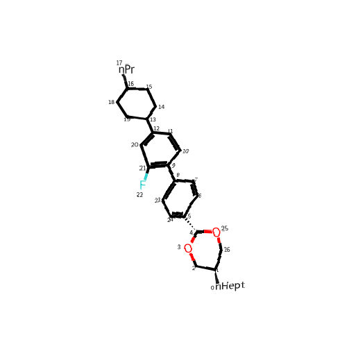 CCCCCCC[C@H]1CO[C@H](c2ccc(-c3ccc(C4CCC(CCC)CC4)cc3F)cc2)OC1